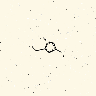 CCc1cc(NC)cn1C